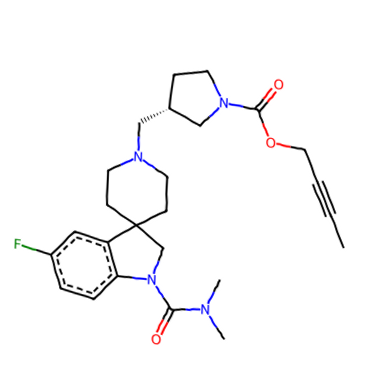 CC#CCOC(=O)N1CC[C@@H](CN2CCC3(CC2)CN(C(=O)N(C)C)c2ccc(F)cc23)C1